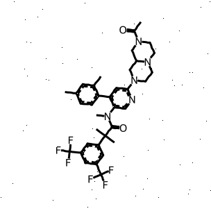 CC(=O)N1CCN2CCN(c3cc(-c4ccc(C)cc4C)c(N(C)C(=O)C(C)(C)c4cc(C(F)(F)F)cc(C(F)(F)F)c4)cn3)CC2C1